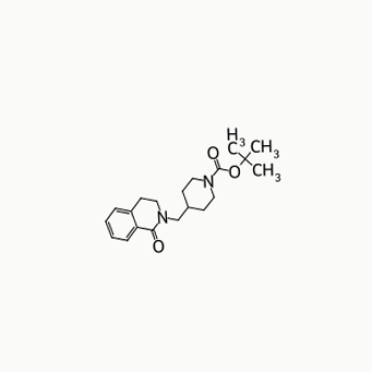 CC(C)(C)OC(=O)N1CCC(CN2CCc3ccccc3C2=O)CC1